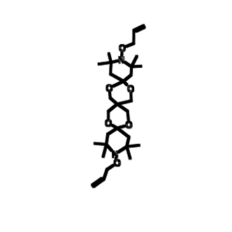 C=CCON1C(C)(C)CC2(CC1(C)C)OCC1(CO2)COC2(CC(C)(C)N(OCC=C)C(C)(C)C2)OC1